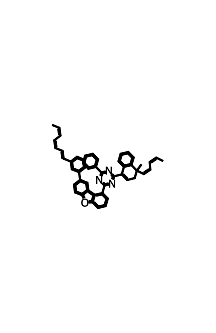 C\C=C/C=C\C=C\c1cccc(-c2ccc3oc4cccc(-c5nc(C6=CCC(C)(/C=C\C=C/C)c7ccccc76)nc(-c6ccccc6)n5)c4c3c2)c1